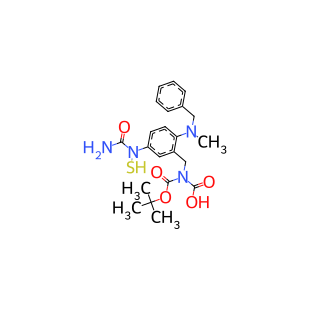 CN(Cc1ccccc1)c1ccc(N(S)C(N)=O)cc1CN(C(=O)O)C(=O)OC(C)(C)C